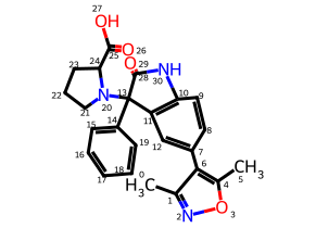 Cc1noc(C)c1-c1ccc2c(c1)C(c1ccccc1)(N1CCCC1C(=O)O)C(=O)N2